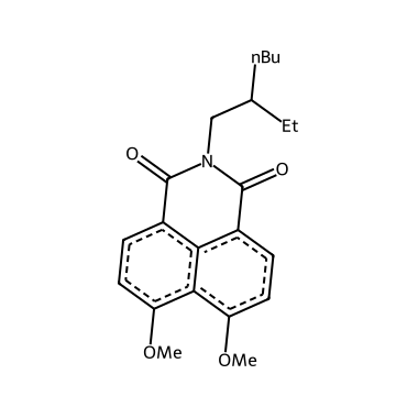 CCCCC(CC)CN1C(=O)c2ccc(OC)c3c(OC)ccc(c23)C1=O